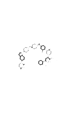 Cc1cc(C(=O)N2CCC(F)(CN3CCC(n4ccc5cc(N6CCC(=O)NC6=O)ccc54)CC3)CC2)ccc1[C@@H]1CN(c2cc(-c3ccccc3O)nnc2N)CCC1(F)F